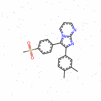 Cc1ccc(-c2nc3ncccn3c2-c2ccc(S(C)(=O)=O)cc2)cc1C